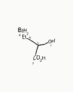 CCC(O)C(=O)O.[BaH2]